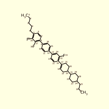 CCCCCc1ccc(-c2ccc(-c3ccc(C4=CCC(C5CCC(CCC)CC5)CC4)c(F)c3)cc2)c(F)c1F